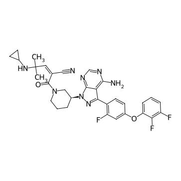 CC(C)(/C=C(/C#N)C(=O)N1CCC[C@H](n2nc(-c3ccc(Oc4cccc(F)c4F)cc3F)c3c(N)ncnc32)C1)NC1CC1